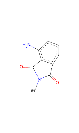 CC(C)N1C(=O)c2cccc(N)c2C1=O